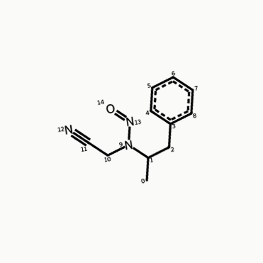 CC(Cc1ccccc1)N(CC#N)N=O